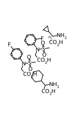 CS(=O)(=O)N(CC(=O)O)c1ccc(F)cc1.CS(=O)(=O)N(CC(=O)O)c1ccccc1F.NC(C(=O)O)C1CCCCC1.N[C@H](C(=O)O)C1CC1